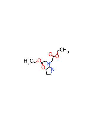 CCOC(=O)CN(CC(=O)OCC)C1CCC[N]1